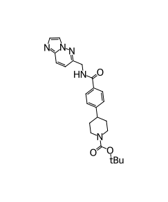 CC(C)(C)OC(=O)N1CCC(c2ccc(C(=O)NCc3ccc4nccn4n3)cc2)CC1